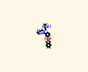 O=S(=O)(c1cccc(CN(Cc2ncc[nH]2)Cc2ncc[nH]2)c1)N1Cc2ccccc2C1